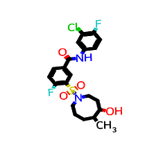 CC1CCCN(S(=O)(=O)c2cc(C(=O)Nc3ccc(F)c(Cl)c3)ccc2F)CCC1O